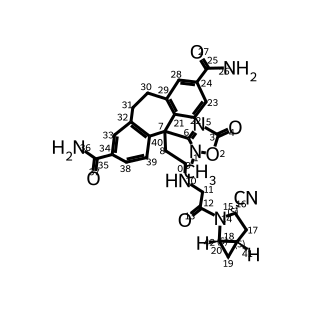 Cn1oc(=O)nc1C1(CCNCC(=O)N2[C@H](C#N)C[C@@H]3C[C@@H]32)c2ccc(C(N)=O)cc2CCc2cc(C(N)=O)ccc21